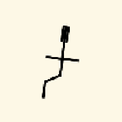 [C]#CC(C)(C)CCC